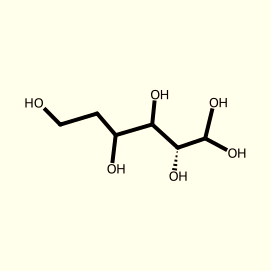 OCCC(O)C(O)[C@@H](O)C(O)O